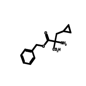 NC(CC1CC1)(C(=O)O)C(=O)OCc1ccccc1